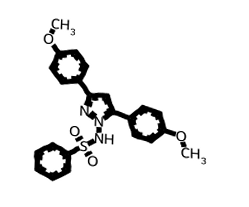 COc1ccc(-c2cc(-c3ccc(OC)cc3)n(NS(=O)(=O)c3ccccc3)n2)cc1